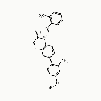 CCCOc1ccc(-c2ccc3c(c2)CCN(C)[C@@H]3CNc2cnccc2C(=O)O)c(C)c1